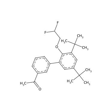 CC(=O)c1cccc(-c2cc(C(C)(C)C)cc(C(C)(C)C)c2OCC(F)F)c1